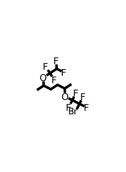 CC(CCC(C)OC(F)(F)C(F)(F)Br)OC(F)(F)C(F)F